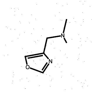 CN(C)Cc1cocn1